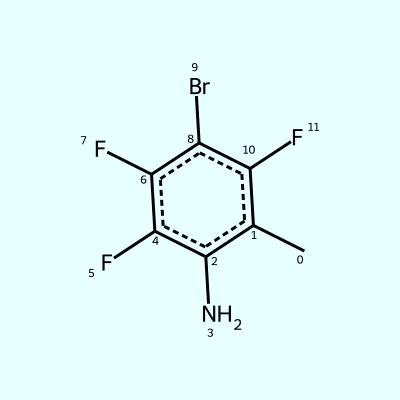 Cc1c(N)c(F)c(F)c(Br)c1F